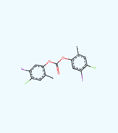 Cc1cc(F)c(I)cc1OC(=O)Oc1cc(I)c(F)cc1C